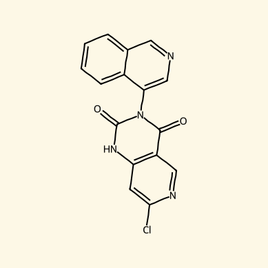 O=c1[nH]c2cc(Cl)ncc2c(=O)n1-c1cncc2ccccc12